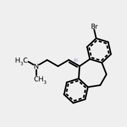 CN(C)CC/C=C1\c2ccccc2CCc2ccc(Br)cc21